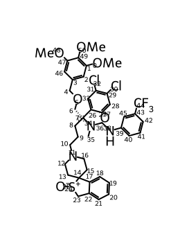 COc1cc(COC[C@](CCCN2CCC3(CC2)c2ccccc2C[S+]3[O-])(c2ccc(Cl)c(Cl)c2)N(C)C(=O)Nc2cccc(C(F)(F)F)c2)cc(OC)c1OC